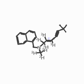 [2H]/C(C#CC(C)(C)C)=C(/[2H])C([2H])([2H])N(Cc1cccc2ccccc12)C([2H])([2H])[2H]